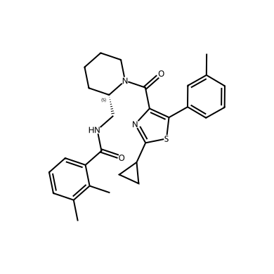 Cc1cccc(-c2sc(C3CC3)nc2C(=O)N2CCCC[C@H]2CNC(=O)c2cccc(C)c2C)c1